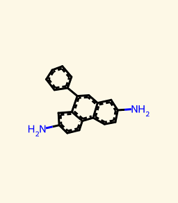 Nc1ccc2c(c1)cc(-c1ccccc1)c1cc(N)ccc12